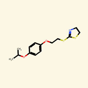 CC(C)Oc1ccc(OCCSC2=NCCS2)cc1